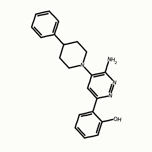 Nc1nnc(-c2ccccc2O)cc1N1CC[C](c2ccccc2)CC1